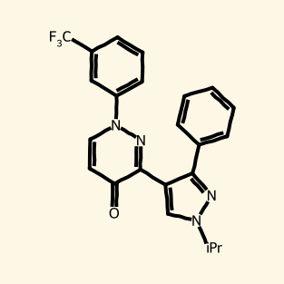 CC(C)n1cc(-c2nn(-c3cccc(C(F)(F)F)c3)ccc2=O)c(-c2ccccc2)n1